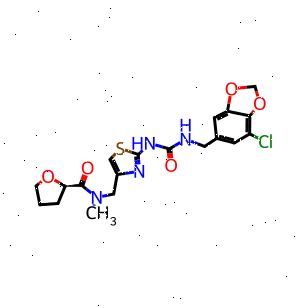 CN(Cc1csc(NC(=O)NCc2cc(Cl)c3c(c2)OCO3)n1)C(=O)[C@H]1CCCO1